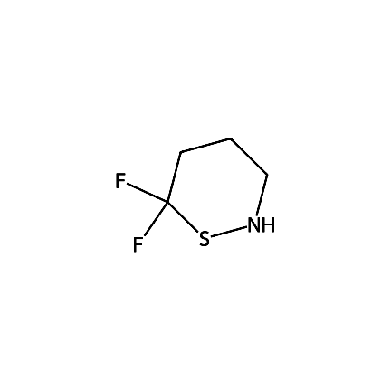 FC1(F)CCCNS1